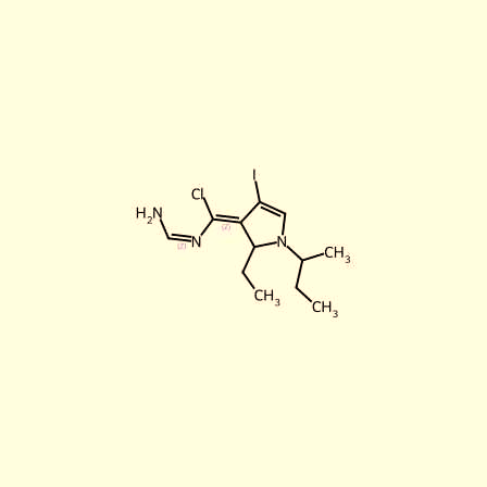 CCC(C)N1C=C(I)/C(=C(Cl)/N=C\N)C1CC